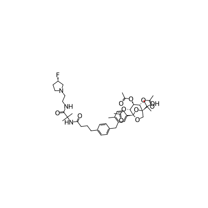 CC(=O)O[C@@H]1[C@@H](OC(C)=O)[C@@]2(c3ccc(C)c(Cc4ccc(CCCC(=O)NC(C)(C)C(=O)NCCN5CC[C@@H](F)C5)cc4)c3)OC[C@](C(C)(C)O)(O2)[C@H]1OC(C)=O